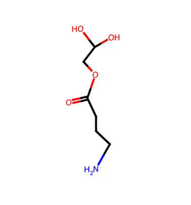 NCCCC(=O)OCC(O)O